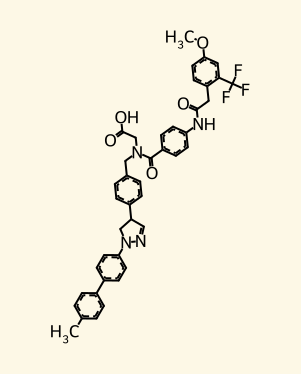 COc1ccc(CC(=O)Nc2ccc(C(=O)N(CC(=O)O)Cc3ccc(C4C=NN(c5ccc(-c6ccc(C)cc6)cc5)C4)cc3)cc2)c(C(F)(F)F)c1